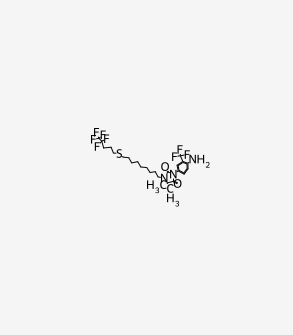 CC1(C)C(=O)N(c2ccc(N)c(C(F)(F)F)c2)C(=O)N1CCCCCCCCCSCCCC(F)(F)C(F)(F)F